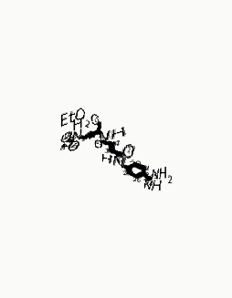 CCOC(=O)CC(C#CCNS(C)(=O)=O)NC(=O)CCC(=O)Nc1ccc(C(=N)N)cc1